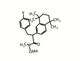 CON(C)C(=O)C(Cc1ccc(F)cc1)c1ccc2c(c1)C(C)(C)CCC2(C)C